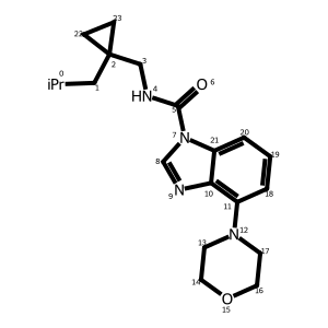 CC(C)CC1(CNC(=O)n2cnc3c(N4CCOCC4)cccc32)CC1